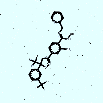 Cc1cc(C2=NOC(c3cccc(C(F)(F)F)c3)(C(F)(F)F)C2)ccc1/C(=N/Cc1ccccn1)NO